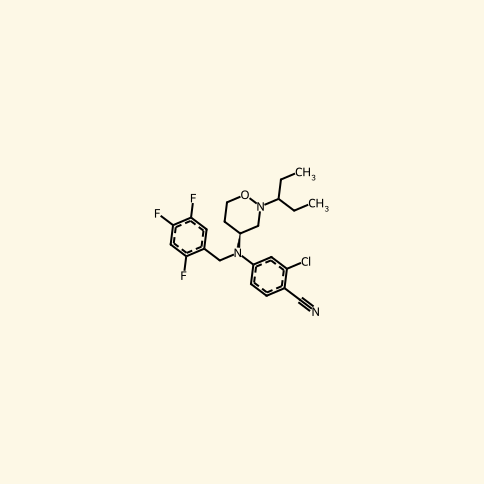 CCC(CC)N1C[C@@H](N(Cc2cc(F)c(F)cc2F)c2ccc(C#N)c(Cl)c2)CCO1